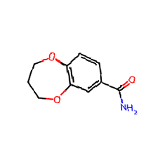 NC(=O)c1ccc2c(c1)OCCCO2